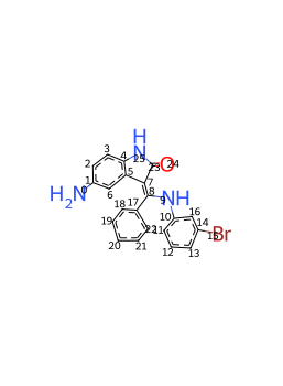 Nc1ccc2c(c1)/C(=C(/Nc1cccc(Br)c1)c1ccccc1)C(=O)N2